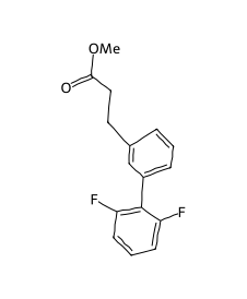 COC(=O)CCc1cccc(-c2c(F)cccc2F)c1